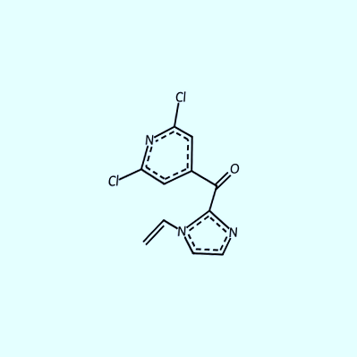 C=Cn1ccnc1C(=O)c1cc(Cl)nc(Cl)c1